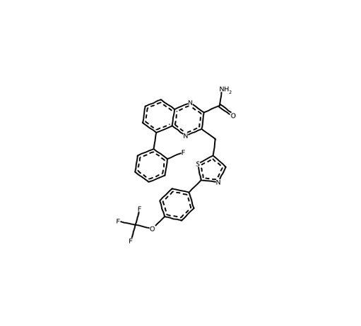 NC(=O)c1nc2cccc(-c3ccccc3F)c2nc1Cc1cnc(-c2ccc(OC(F)(F)F)cc2)s1